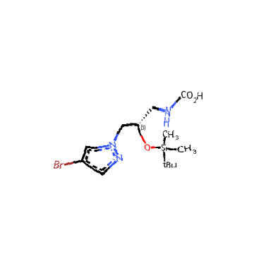 CC(C)(C)[Si](C)(C)O[C@@H](CNC(=O)O)Cn1cc(Br)cn1